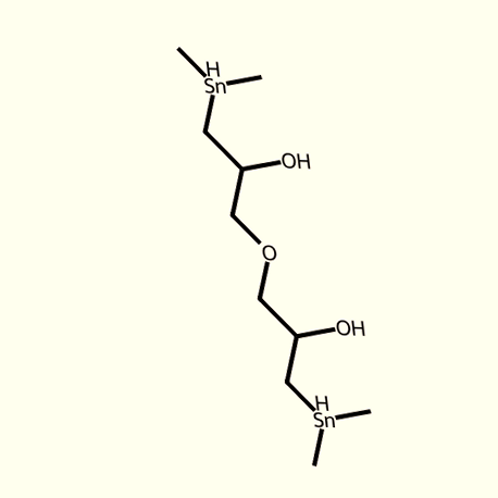 [CH3][SnH]([CH3])[CH2]C(O)COCC(O)[CH2][SnH]([CH3])[CH3]